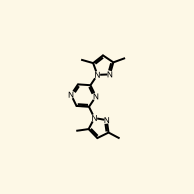 Cc1cc(C)n(-c2cncc(-n3nc(C)cc3C)n2)n1